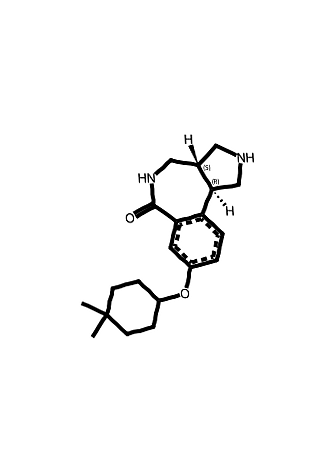 CC1(C)CCC(Oc2ccc3c(c2)C(=O)NC[C@@H]2CNC[C@@H]32)CC1